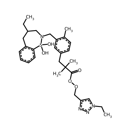 CCC1Cc2ccccc2S(O)(O)N(Cc2cc(CC(C)(C)C(=O)OOCc3cn(CC)nn3)ccc2C)C1